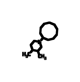 CC1CCN(C2CCCCCCCCC2)CC1C